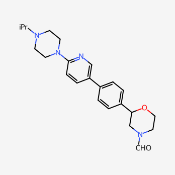 CC(C)N1CCN(c2ccc(-c3ccc(C4CN(C=O)CCO4)cc3)cn2)CC1